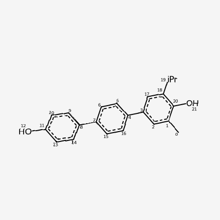 Cc1cc(-c2ccc(-c3ccc(O)cc3)cc2)cc(C(C)C)c1O